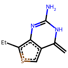 C=C1NC(N)=Nc2c1csc2CC